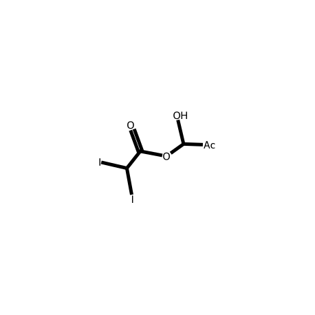 CC(=O)C(O)OC(=O)C(I)I